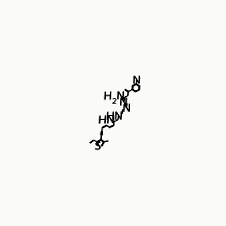 C=Cc1scc(C)c1C#C/C=C\C=C/C(=N)CNCC/N=C\N=C(\N)CC(=C)c1cccc(N(C)C)c1